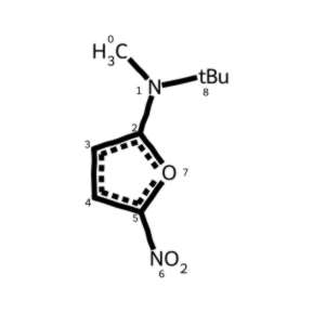 CN(c1ccc([N+](=O)[O-])o1)C(C)(C)C